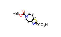 CC(C)(C)OC(=O)N1CCc2nc(C(=O)O)sc2CC1